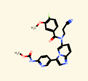 COC(=O)Nc1ccc(-c2cnc3ccc(N(CCC#N)C(=O)c4ccc(F)c(OC)c4)cn23)cn1